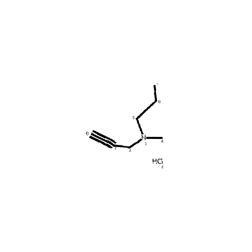 C#CCN(C)CCC.Cl